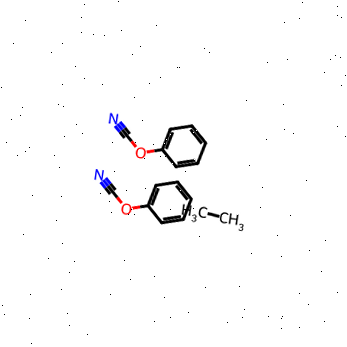 CC.N#COc1ccccc1.N#COc1ccccc1